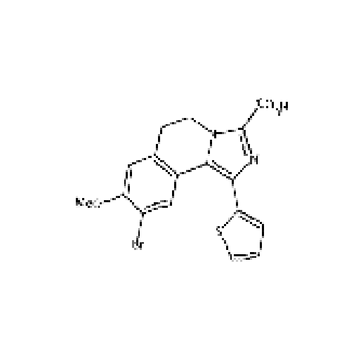 COc1cc2c(cc1Br)-c1c(-c3cccs3)nc(C(=O)O)n1CC2